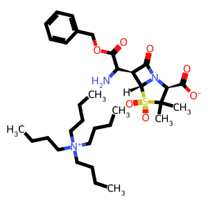 CC1(C)[C@H](C(=O)[O-])N2C(=O)[C@H](C(N)C(=O)OCc3ccccc3)[C@H]2S1(=O)=O.CCCC[N+](CCCC)(CCCC)CCCC